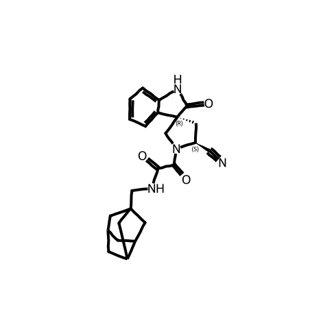 N#C[C@@H]1C[C@@]2(CN1C(=O)C(=O)NCC13CC4CC(C1)C(C4)C3)C(=O)Nc1ccccc12